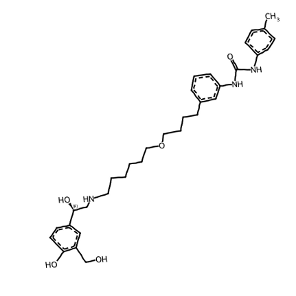 Cc1ccc(NC(=O)Nc2cccc(CCCCOCCCCCCNC[C@H](O)c3ccc(O)c(CO)c3)c2)cc1